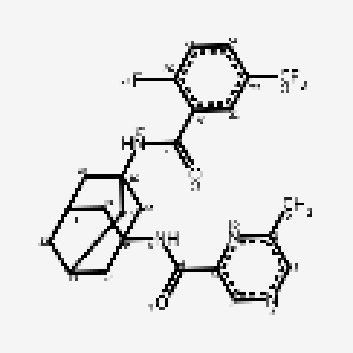 Cc1cncc(C(=O)NC23CC4CC(C2)CC(NC(=O)c2cc(C(F)(F)F)ccc2F)(C4)C3)n1